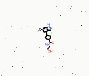 O=C(NCCO)c1ccc(-c2cc(C(F)(F)F)cc3[nH]ncc23)c(F)c1